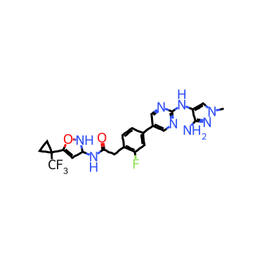 Cn1cc(Nc2ncc(-c3ccc(CC(=O)NC4C=C(C5(C(F)(F)F)CC5)ON4)c(F)c3)cn2)c(N)n1